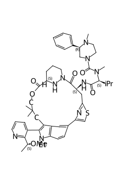 CCn1c(-c2cccnc2[C@H](C)OC)c2c3cc(ccc31)-c1csc(n1)C[C@H](NC(=O)[C@H](C(C)C)N(C)C(=O)N1CCN(C)[C@H](c3ccccc3)C1)C(=O)N1CCC[C@H](N1)C(=O)OCC(C)(C)C2